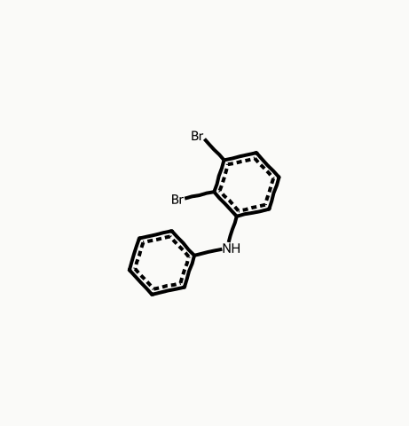 Brc1cccc(Nc2ccccc2)c1Br